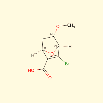 CO[C@H]1C[C@H]2O[C@@H]1C(Br)=C2C(=O)O